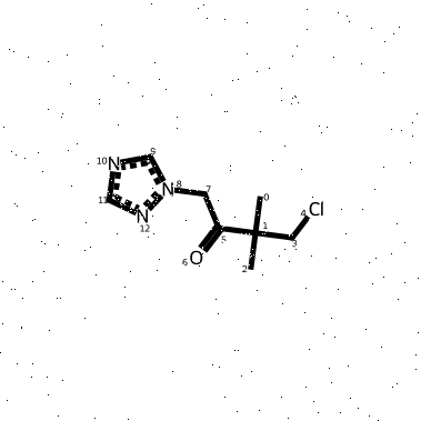 CC(C)(CCl)C(=O)Cn1cncn1